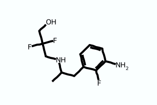 CC(Cc1cccc(N)c1F)NCC(F)(F)CO